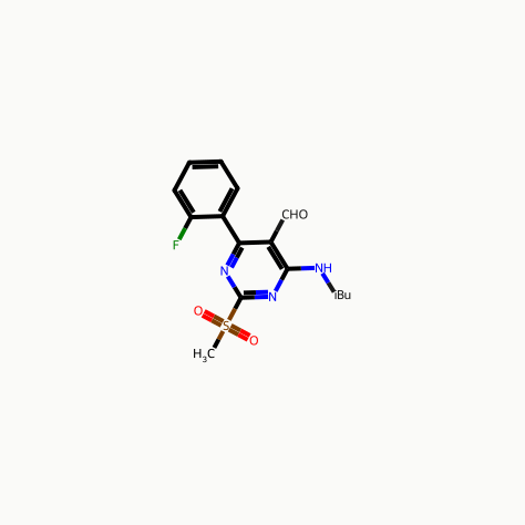 CCC(C)Nc1nc(S(C)(=O)=O)nc(-c2ccccc2F)c1C=O